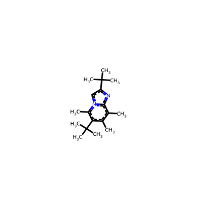 Cc1c(C(C)(C)C)c(C)n2cc(C(C)(C)C)nc2c1C